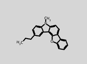 CCCc1ccc2c(c1)c1c3oc4ccccc4c3ccc1n2C